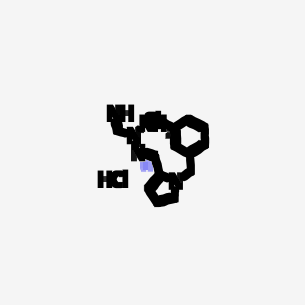 Cl.N=CN(N)/N=C/c1cccn1Cc1cccc(Cl)c1